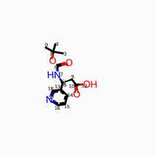 CC(C)(C)OC(=O)N[C@@H](CC(=O)O)c1cccnc1